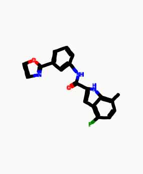 Cc1ccc(F)c2cc(C(=O)Nc3cccc(-c4ncco4)c3)[nH]c12